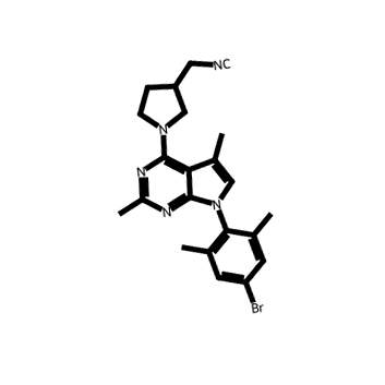 [C-]#[N+]CC1CCN(c2nc(C)nc3c2c(C)cn3-c2c(C)cc(Br)cc2C)C1